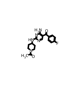 CC(=O)N1CCC(Nc2ncc(C(=O)c3ccc(F)cc3)c(N)n2)CC1